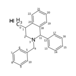 CC1CN(Cc2ccccc2)C(c2ccccc2)c2ccccc21.I